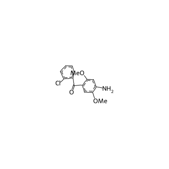 COc1cc(C(=O)c2ccccc2Cl)c(OC)cc1N